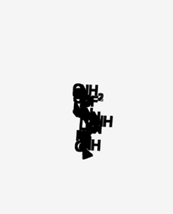 CS(=O)(=O)C(N)c1cc(F)cc(-c2nccc3[nH]c(-c4n[nH]c5ncc(-c6cncc(NC(=O)C7CC7)c6)cc45)nc23)c1